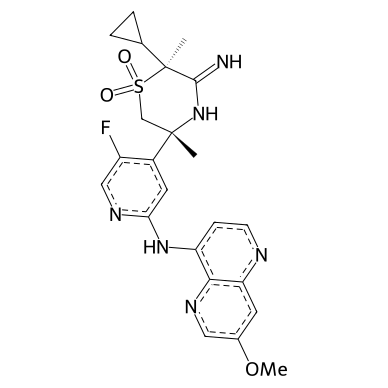 COc1cnc2c(Nc3cc([C@]4(C)CS(=O)(=O)[C@@](C)(C5CC5)C(=N)N4)c(F)cn3)ccnc2c1